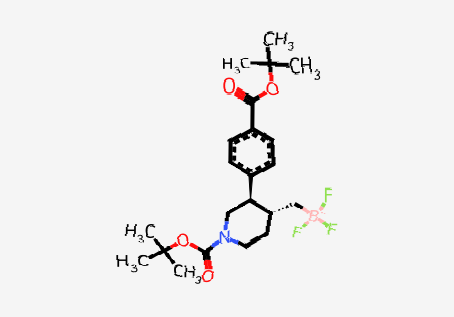 CC(C)(C)OC(=O)c1ccc([C@@H]2CN(C(=O)OC(C)(C)C)CC[C@H]2C[B-](F)(F)F)cc1